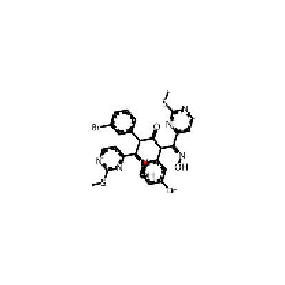 CSc1nccc(C(=NO)C(C(=O)C(C(=NO)c2ccnc(SC)n2)c2cccc(Br)c2)c2cccc(Br)c2)n1